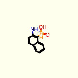 Nc1ccc2ccccc2c1[PH](=O)O